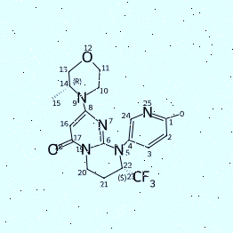 Cc1ccc(N2c3nc(N4CCOC[C@H]4C)cc(=O)n3CC[C@H]2C(F)(F)F)cn1